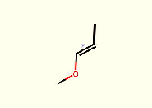 [CH2]O/C=[C]/C